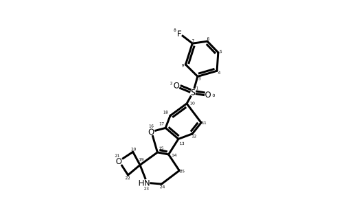 O=S(=O)(c1cccc(F)c1)c1ccc2c3c(oc2c1)C1(COC1)NCC3